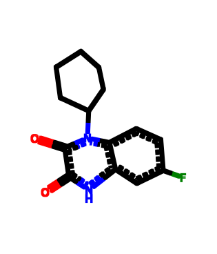 O=c1[nH]c2cc(F)ccc2n(C2CCCCC2)c1=O